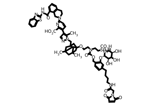 Cc1c(-c2ccc(N3CCc4cccc(C(=O)Nc5nc6ccccc6s5)c4C3)nc2C(=O)O)cnn1CC12CC3(C)CC(C)(C1)CC(OCCN(CCS(=O)(=O)O)C(=O)OCc1ccc(CCCCNC(=O)CN4C(=O)C=CC4=O)cc1O[C@@H]1O[C@H](C(=O)O)[C@@H](O)C(O)[C@H]1O)(C3)C2